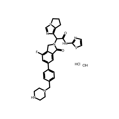 Cl.Cl.O=C(Nc1nccs1)C(c1ncn2c1CCC2)N1Cc2c(F)cc(-c3ccc(CN4CCNCC4)cc3)cc2C1=O